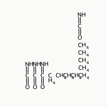 C.C.C.C.C.C.C.C.C.N=C=O.N=C=O.N=C=O.N=C=O